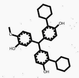 COc1ccc(C(c2ccc(O)c(C3CCCCC3)c2)c2ccc(O)c(C3CCCCC3)c2)cc1O